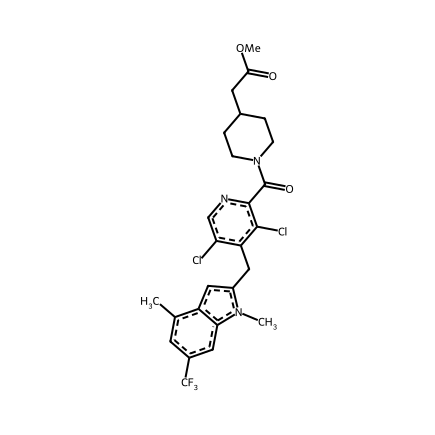 COC(=O)CC1CCN(C(=O)c2ncc(Cl)c(Cc3cc4c(C)cc(C(F)(F)F)cc4n3C)c2Cl)CC1